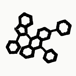 c1ccc(-c2ccc3c(-n4c(-c5ccccc5)nc5ccccc54)c4ccccc4c(-c4ccccc4)c3c2)cc1